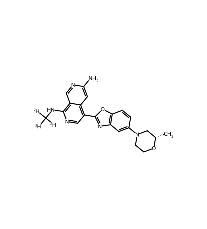 [2H]C([2H])([2H])Nc1ncc(-c2nc3cc(N4CCO[C@@H](C)C4)ccc3o2)c2cc(N)ncc12